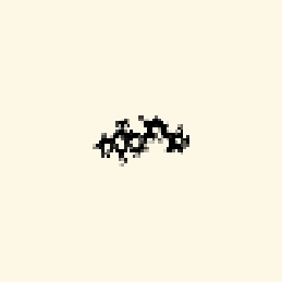 Cc1cnn(C)c1-c1ccc(F)c(N2CCN(C(=O)N3N=CCC3c3cncs3)CC2)n1